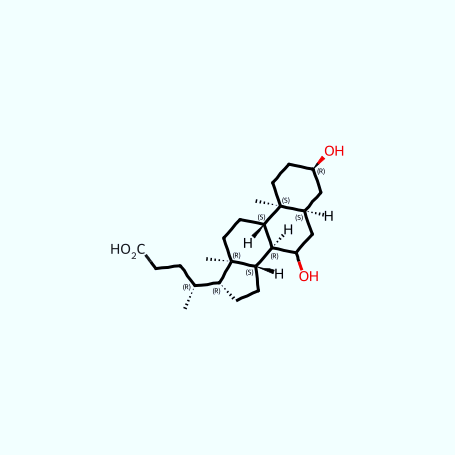 C[C@H](CCC(=O)O)[C@H]1CC[C@H]2[C@@H]3C(O)C[C@@H]4C[C@H](O)CC[C@]4(C)[C@H]3CC[C@]12C